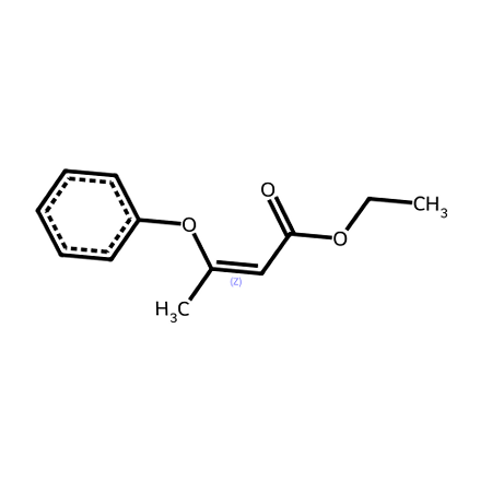 CCOC(=O)/C=C(/C)Oc1ccccc1